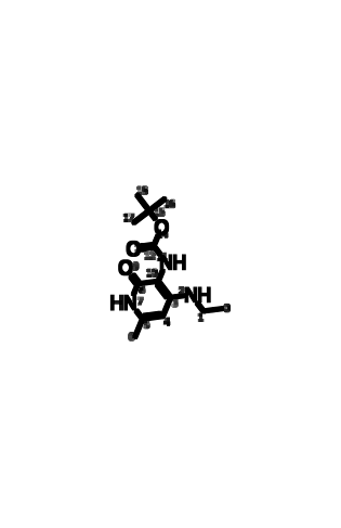 CCNc1cc(C)[nH]c(=O)c1NC(=O)OC(C)(C)C